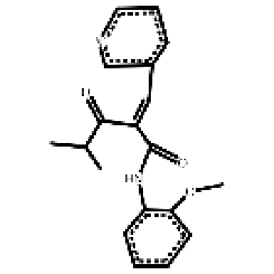 COc1ccccc1NC(=O)C(=Cc1cccnc1)C(=O)C(C)C